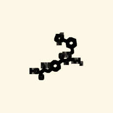 NC(=NC(=O)c1ccc(CC(N)C(=O)O)cc1)NCc1cccc(-c2nccs2)c1